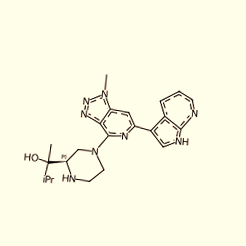 CC(C)C(C)(O)[C@H]1CN(c2nc(-c3c[nH]c4ncccc34)cc3c2nnn3C)CCN1